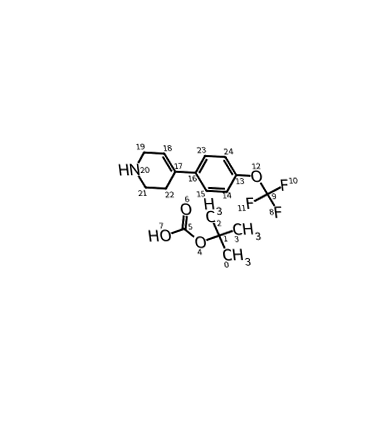 CC(C)(C)OC(=O)O.FC(F)(F)Oc1ccc(C2=CCNCC2)cc1